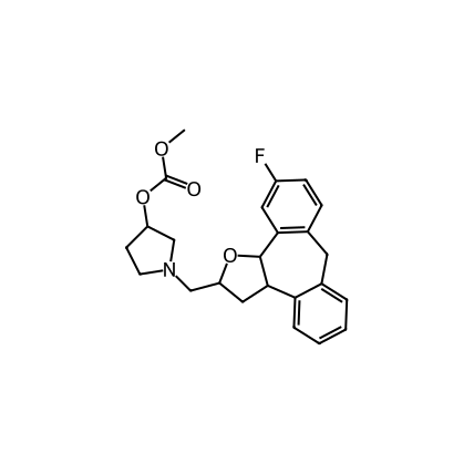 COC(=O)OC1CCN(CC2CC3c4ccccc4Cc4ccc(F)cc4C3O2)C1